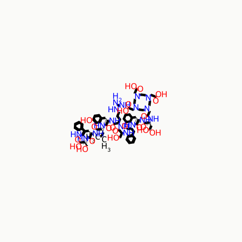 CC(C)C[C@@H](NC(=O)[C@H](Cc1ccc(O)cc1)NC(=O)C(CCCNC(=N)N)NC(=O)C(CO)NC(=O)C(Cc1ccccc1)NC(=O)[C@H](CC1CCCCC1)NC(=O)[C@@H](CC(O)O)NC(=O)CN1CCN(CC(=O)O)CCN(CC(=O)O)CCN(CC(=O)O)CC1)C(=O)N[C@@H](Cc1c[nH]c2ccccc12)C(=O)N[C@@H](CO)C(=O)O